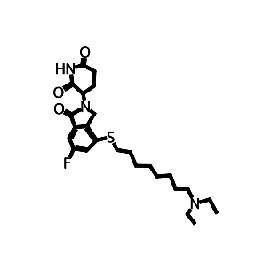 CCN(CC)CCCCCCCCSc1cc(F)cc2c1CN(C1CCC(=O)NC1=O)C2=O